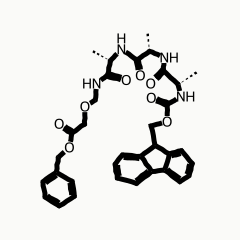 C[C@H](NC(=O)OCC1c2ccccc2-c2ccccc21)C(=O)N[C@@H](C)C(=O)N[C@@H](C)C(=O)NCOCC(=O)OCc1ccccc1